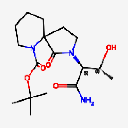 C[C@@H](O)[C@@H](C(N)=O)N1CCC2(CCCCN2C(=O)OC(C)(C)C)C1=O